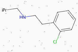 CC(C)CNCCc1ccccc1Cl